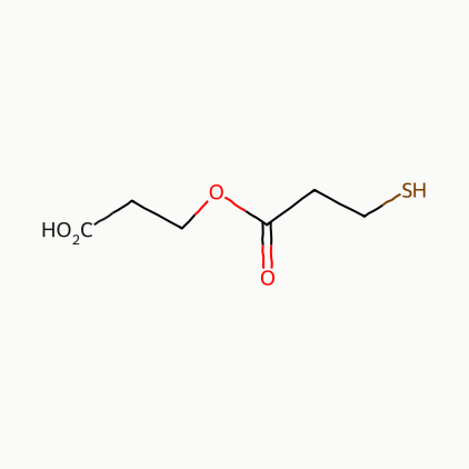 O=C(O)CCOC(=O)CCS